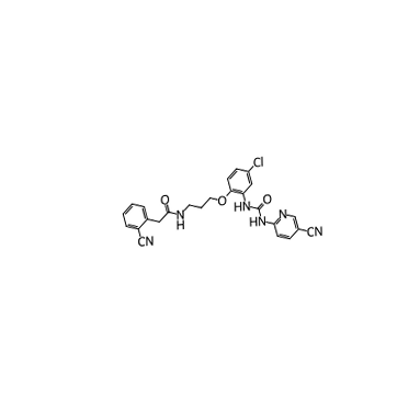 N#Cc1ccc(NC(=O)Nc2cc(Cl)ccc2OCCCNC(=O)Cc2ccccc2C#N)nc1